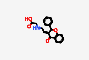 O=C(O)CNCC=C1C(=O)c2ccccc2OC1c1ccccc1